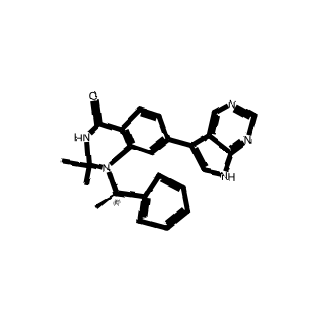 C[C@H](c1ccccc1)N1c2cc(-c3c[nH]c4ncncc34)ccc2C(=O)NC1(C)C